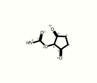 CCCC(=O)OC1C(=O)CCC1=O